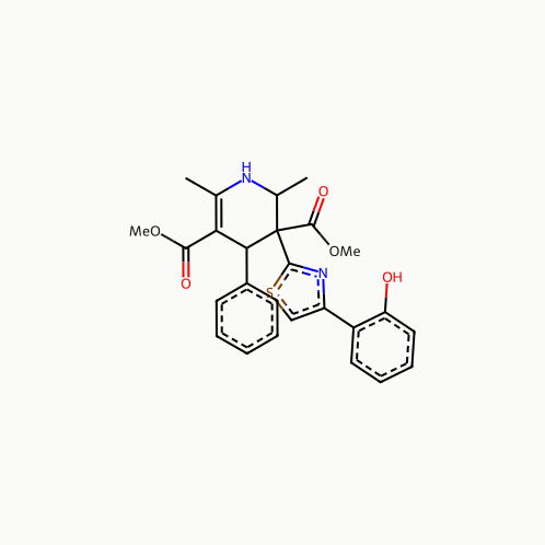 COC(=O)C1=C(C)NC(C)C(C(=O)OC)(c2nc(-c3ccccc3O)cs2)C1c1ccccc1